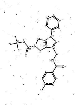 Cc1ccc(C(=O)NCc2nn(-c3ccccc3)c3c2CN(C(=O)OC(C)(C)C)C3)cc1